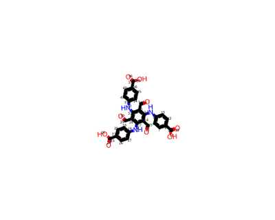 O=Cc1c(Nc2ccc(C(=O)O)cc2)c(C=O)c(Nc2ccc(C(=O)O)cc2)c(C=O)c1Nc1ccc(C(=O)O)cc1